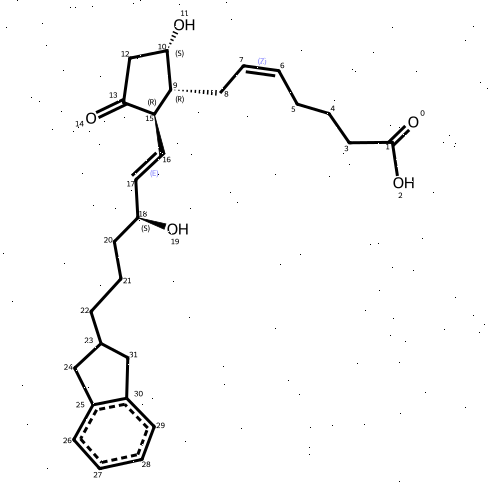 O=C(O)CCC/C=C\C[C@H]1[C@@H](O)CC(=O)[C@@H]1/C=C/[C@@H](O)CCCC1Cc2ccccc2C1